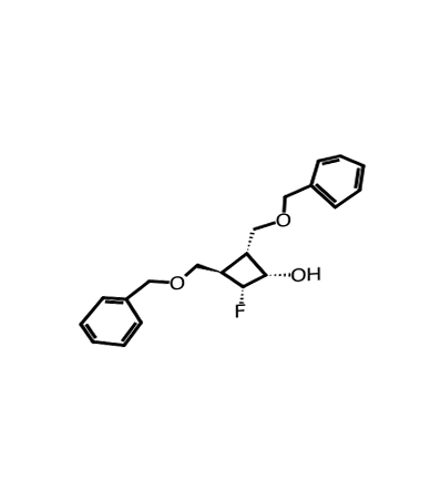 O[C@@H]1[C@H](F)[C@@H](COCc2ccccc2)[C@@H]1COCc1ccccc1